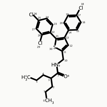 CCCC(CCC)C(=O)NCc1cc(-c2ccc(Cl)cc2)c(-c2ccc(Cl)cc2Cl)s1